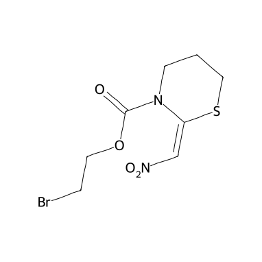 O=C(OCCBr)N1CCCSC1=C[N+](=O)[O-]